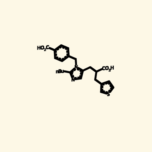 CCCCc1ncc(CC(Cc2ccsc2)C(=O)O)n1Cc1ccc(C(=O)O)cc1